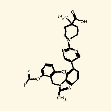 Cc1nc2ccc(-c3cnc(N4CCC(C)(C(=O)O)CC4)nc3)cc2n1Cc1c(Cl)cccc1OC(F)F